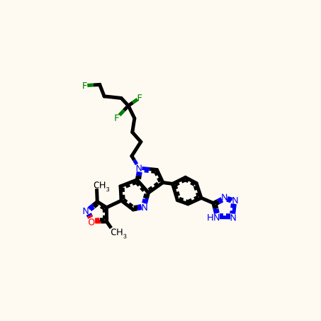 Cc1noc(C)c1-c1cnc2c(-c3ccc(-c4nnn[nH]4)cc3)cn(CCCCC(F)(F)CCCF)c2c1